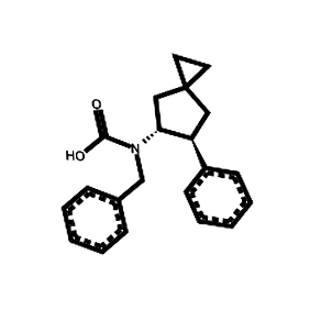 O=C(O)N(Cc1ccccc1)[C@@H]1CC2(CC2)C[C@H]1c1ccccc1